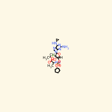 CC(C)OC(=O)[C@H](C)N[P@](=O)(Oc1ccccc1)OC1[C@H]2O[C@@H](n3cnc4c(NC5CC5)nc(N)nc43)[C@@H](F)[C@@]12O